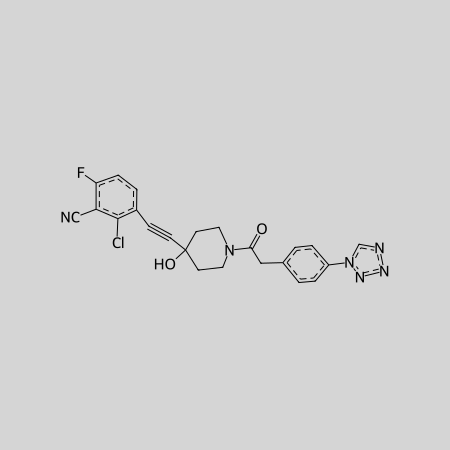 N#Cc1c(F)ccc(C#CC2(O)CCN(C(=O)Cc3ccc(-n4cnnn4)cc3)CC2)c1Cl